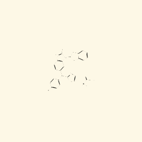 Cc1nc2ccc(C(c3ccc(Cl)cc3)c3nccs3)cc2n1C1Cc2ccccc2C1.O=C(O)C(F)(F)F